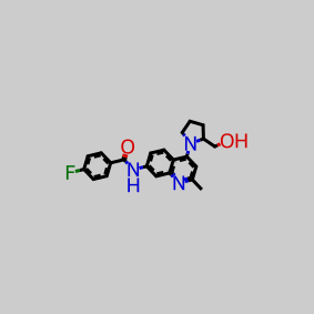 Cc1cc(N2CCCC2CO)c2ccc(NC(=O)c3ccc(F)cc3)cc2n1